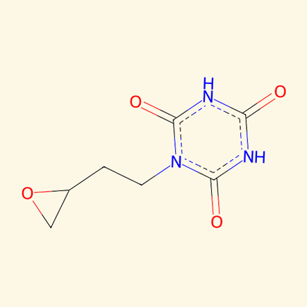 O=c1[nH]c(=O)n(CCC2CO2)c(=O)[nH]1